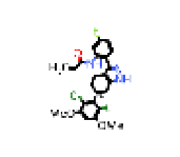 C=CC(=O)Nc1cc(F)ccc1-c1n[nH]c2c1CC[C@H](c1c(Cl)c(OC)cc(OC)c1Cl)C2